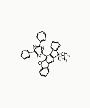 CC1(C)c2ccccc2-c2c1cc1c(oc3ccccc31)c2-c1nc(-c2ccccc2)nc(-c2ccccc2)n1